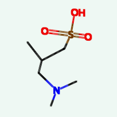 CC(CN(C)C)CS(=O)(=O)O